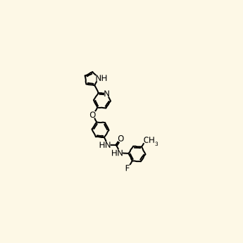 Cc1ccc(F)c(NC(=O)Nc2ccc(Oc3ccnc(-c4ccc[nH]4)c3)cc2)c1